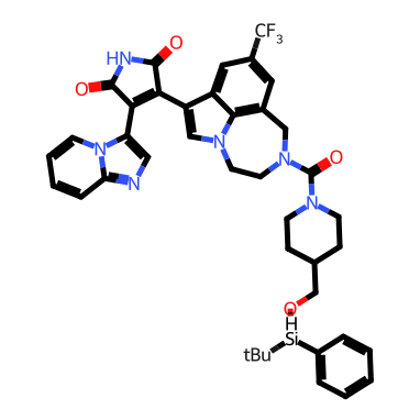 CC(C)(C)[SiH](OCC1CCN(C(=O)N2CCn3cc(C4=C(c5cnc6ccccn56)C(=O)NC4=O)c4cc(C(F)(F)F)cc(c43)C2)CC1)c1ccccc1